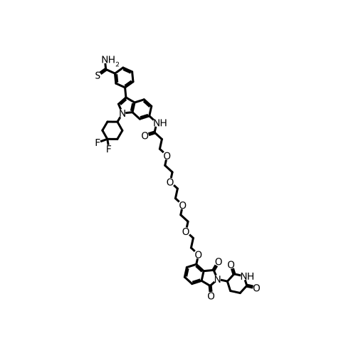 NC(=S)c1cccc(-c2cn(C3CCC(F)(F)CC3)c3cc(NC(=O)CCOCCOCCOCCOCCOc4cccc5c4C(=O)N(C4CCC(=O)NC4=O)C5=O)ccc23)c1